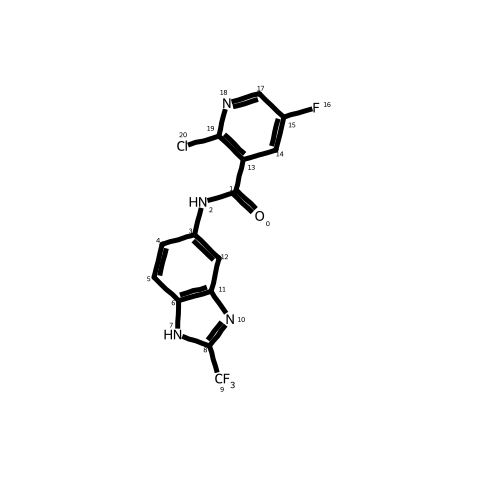 O=C(Nc1ccc2[nH]c(C(F)(F)F)nc2c1)c1cc(F)cnc1Cl